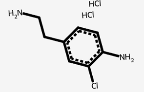 Cl.Cl.NCCc1ccc(N)c(Cl)c1